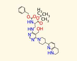 CC(C)(C)OC(=O)C(CNc1ncnc(N2CCC(c3ccc4c(n3)NCCC4)CC2)c1CO)NC(=O)OCc1ccccc1